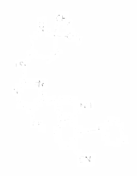 CC1(C)CCC(Nc2ncc(C(F)(F)F)c(-c3c[nH]c4c(P5CCCC5)c(C#N)ccc34)n2)CN1